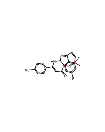 CC1=N/N2C(=O)C=C(c3ccc(C#N)cc3)NC2/C=C(c2ccc(F)cc2F)/C=C\1